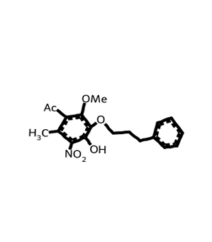 COc1c(OCCCc2ccccc2)c(O)c([N+](=O)[O-])c(C)c1C(C)=O